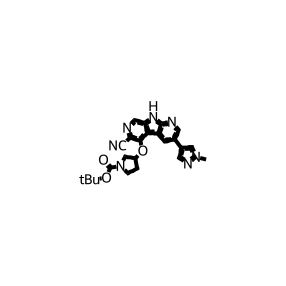 Cn1cc(-c2cnc3[nH]c4cnc(C#N)c(OC5CCN(C(=O)OC(C)(C)C)C5)c4c3c2)cn1